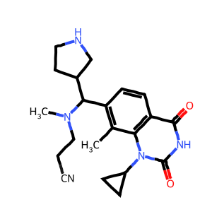 Cc1c(C(C2CCNC2)N(C)CCC#N)ccc2c(=O)[nH]c(=O)n(C3CC3)c12